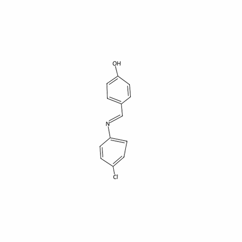 Oc1ccc(C=Nc2ccc(Cl)cc2)cc1